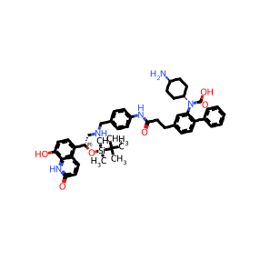 CC(C)(C)[Si](C)(C)O[C@@H](CNCc1ccc(NC(=O)CCc2ccc(-c3ccccc3)c(N(C(=O)O)[C@H]3CC[C@H](N)CC3)c2)cc1)c1ccc(O)c2[nH]c(=O)ccc12